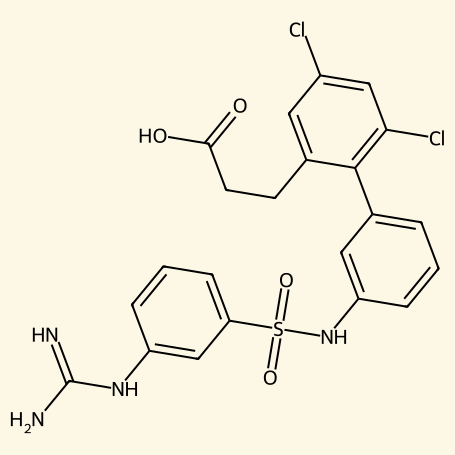 N=C(N)Nc1cccc(S(=O)(=O)Nc2cccc(-c3c(Cl)cc(Cl)cc3CCC(=O)O)c2)c1